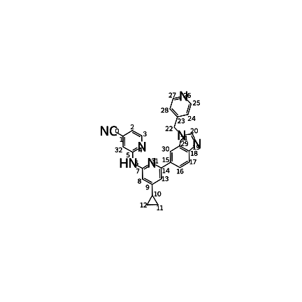 N#Cc1ccnc(Nc2cc(C3CC3)cc(-c3ccc4ncn(Cc5ccncc5)c4c3)n2)c1